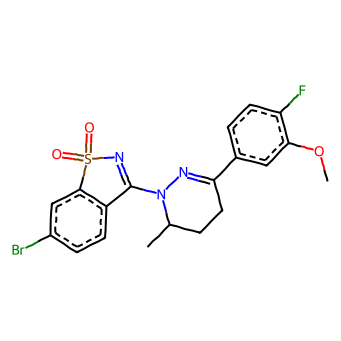 COc1cc(C2=NN(C3=NS(=O)(=O)c4cc(Br)ccc43)C(C)CC2)ccc1F